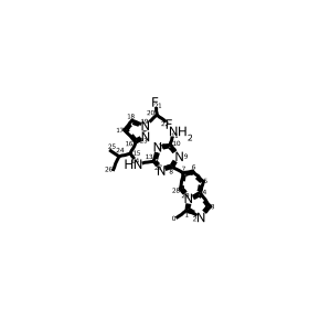 Cc1ncc2ccc(-c3nc(N)nc(NC(c4ccn(C(F)F)n4)C(C)C)n3)cn12